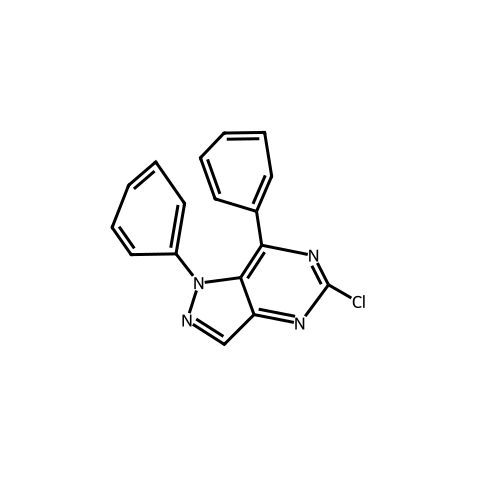 Clc1nc(-c2ccccc2)c2c(cnn2-c2ccccc2)n1